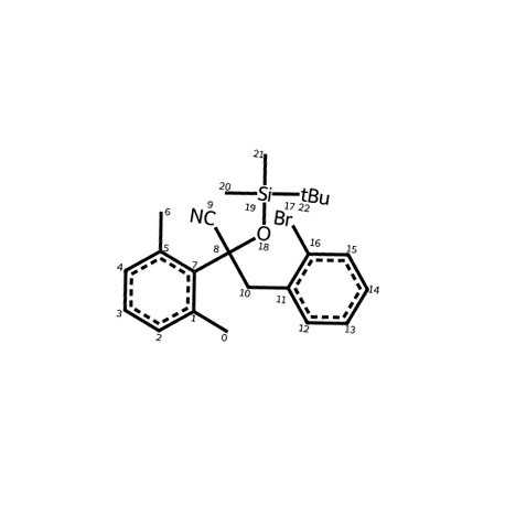 Cc1cccc(C)c1C(C#N)(Cc1ccccc1Br)O[Si](C)(C)C(C)(C)C